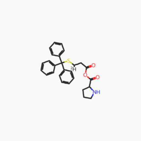 [2H]C(CC(=O)OC(=O)C1CCCN1)SC(c1ccccc1)(c1ccccc1)c1ccccc1